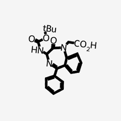 CC(C)(C)OC(=O)NC1N=C(c2ccccc2)c2ccccc2N(CC(=O)O)C1=O